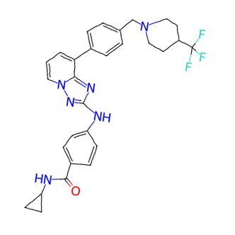 O=C(NC1CC1)c1ccc(Nc2nc3c(-c4ccc(CN5CCC(C(F)(F)F)CC5)cc4)cccn3n2)cc1